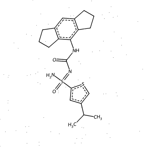 CC(C)c1csc(S(N)(=O)=NC(=O)Nc2c3c(cc4c2CCC4)CCC3)c1